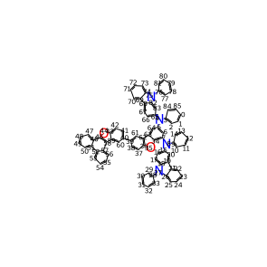 c1ccc(N(c2cc(N(c3ccccc3)c3ccc4c(c3)c3ccccc3n4-c3ccccc3)c3oc4ccc(-c5ccc6oc7c8ccccc8c8ccccc8c7c6c5)cc4c3c2)c2ccc3c4ccccc4n(-c4ccccc4)c3c2)cc1